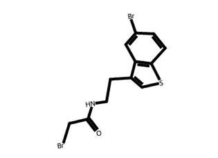 O=C(CBr)NCCc1csc2ccc(Br)cc12